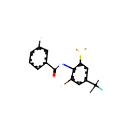 O=C(Nc1c(Br)cc(C(F)(C(F)(F)F)C(F)(F)F)cc1[S+]([O-])C(F)(F)F)c1cccc([N+](=O)[O-])c1